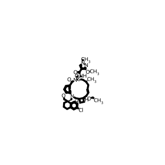 CCO[C@H]1/C=C/C[C@H](C)CS(=O)(NC(=O)c2cn(C)nc2OC)=NC(=O)c2ccc3c(c2)N(C[C@@H]2CC[C@H]21)C[C@@]1(CCCc2cc(Cl)ccc21)CO3